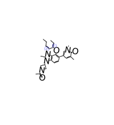 C/C=C(\C=C/CC)Oc1c(-c2cc(C)c(=O)n(C)c2)ccc2c1nc(C)n2C1CN(C(C)=O)C1